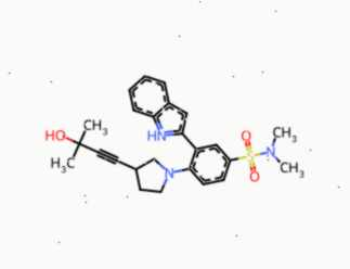 CN(C)S(=O)(=O)c1ccc(N2CCC(C#CC(C)(C)O)C2)c(-c2cc3ccccc3[nH]2)c1